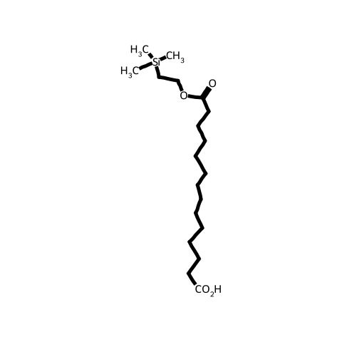 C[Si](C)(C)CCOC(=O)CCCCCCCCCCCCC(=O)O